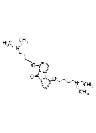 CCN(CC)CCCCOc1cccc2c1C(=O)c1cccc(OCCCCN(CC)CC)c1-2